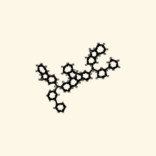 c1ccc(-c2cccc(N(c3ccc4c(c3)oc3ccccc34)c3ccc4cc5c6ccc(N(c7cccc(-c8ccccc8)c7)c7ccc8oc9ccccc9c8c7)cc6n6c7ccccc7c(c4c3)c56)c2)cc1